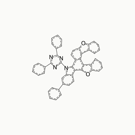 c1ccc(-c2ccc3c4c5oc6ccccc6c5c5c(ccc6oc7ccccc7c65)c4n(-c4nc(-c5ccccc5)nc(-c5ccccc5)n4)c3c2)cc1